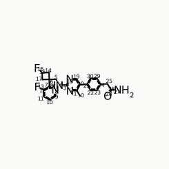 Cc1nc(NCC2(c3ncccc3F)CC(F)C2)ncc1-c1ccc(CC(N)=O)cc1